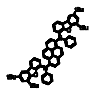 CC(C)(C)c1cc(C(C)(C)C)c2oc3c(N(c4ccccc4)c4ccc5ccc6c(N(c7ccccc7)c7cccc8c7oc7c(C(C)(C)C)cc(C(C)(C)C)cc78)ccc7ccc4c5c76)cccc3c2c1